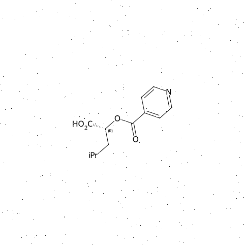 CC(C)C[C@@H](OC(=O)c1ccncc1)C(=O)O